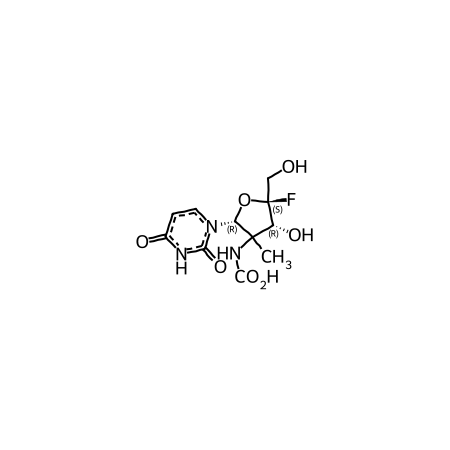 CC1(NC(=O)O)[C@@H](O)[C@@](F)(CO)O[C@H]1n1ccc(=O)[nH]c1=O